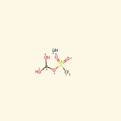 O=S(=O)(OB(O)O)C(F)(F)F.[LiH]